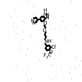 FC(F)(F)Oc1ccc(CNCCCCOCCOc2cc(-c3ccnnc3)cc3[nH]nnc23)cc1Cl